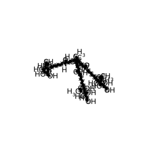 CC(=O)N/C(=C(/O)[C@@H](O)CCO)[C@@H](O)OCCCCCCNC(=O)CCOCC(COCCC(=O)NCCCCCCO[C@@H]1OC(CO)[C@H](O)C(O)C1NC(C)=O)(COCCC(=O)NCCCCCCO[C@H](O)/C(NC(C)=O)=C(\O)[C@@H](O)CCO)C(C)C